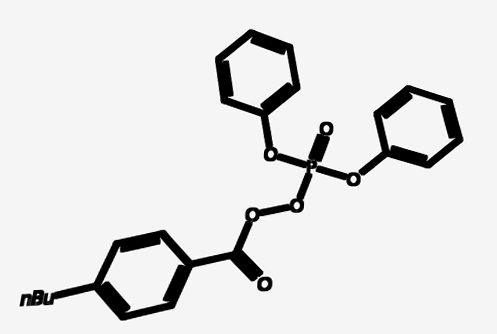 CCCCc1ccc(C(=O)OOP(=O)(Oc2ccccc2)Oc2ccccc2)cc1